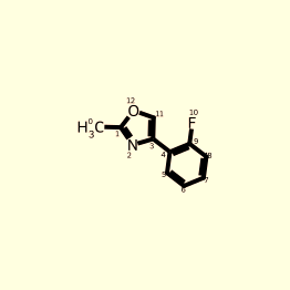 Cc1nc(-c2ccc[c]c2F)co1